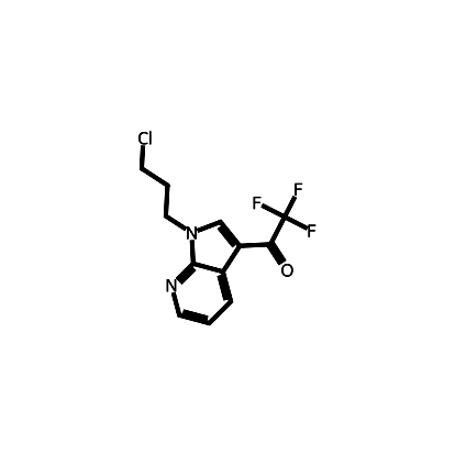 O=C(c1cn(CCCCl)c2ncccc12)C(F)(F)F